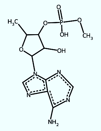 COP(=O)(O)OC1C(C)OC(n2cnc3c(N)ncnc32)C1O